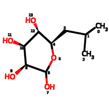 CC(C)C[C@H]1OC(O)[C@@H](O)[C@@H](O)[C@@H]1O